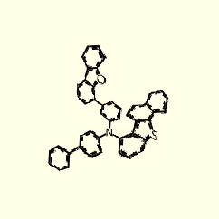 c1ccc(-c2ccc(N(c3cccc(-c4cccc5c4oc4ccccc45)c3)c3cccc4sc5c6ccccc6ccc5c34)cc2)cc1